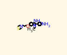 CCn1c(-c2ccc(N)cc2)c(N)c2ccc(OCCCN3CCSCC3)cc21